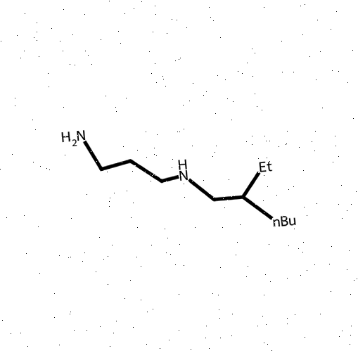 CCCCC(CC)CNCCCN